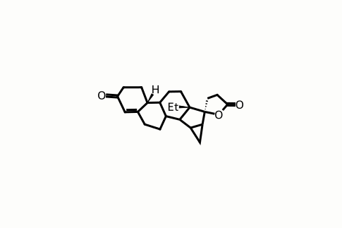 CC[C@]12CCC3C(CCC4=CC(=O)CC[C@@H]43)C1C1CC1[C@@]21CCC(=O)O1